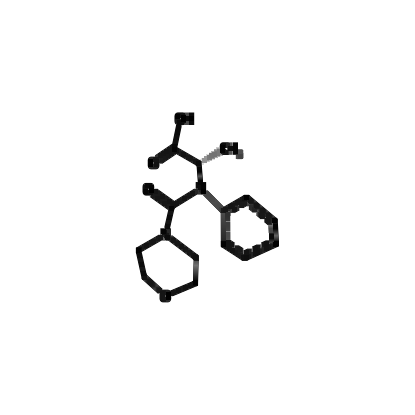 C[C@@H](C(=O)O)N(C(=O)N1CCOCC1)c1ccccc1